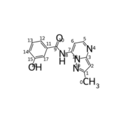 Cc1cc2nccc(NC(=O)c3cccc(O)c3)n2n1